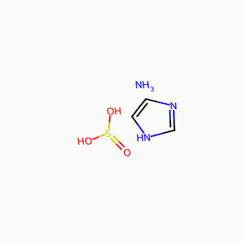 N.O=S(O)O.c1c[nH]cn1